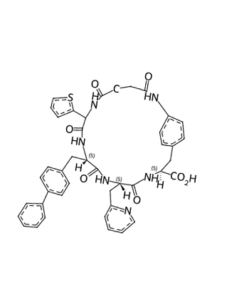 O=C1CCC(=O)NC(c2cccs2)C(=O)N[C@@H](Cc2ccc(-c3ccccc3)cc2)C(=O)N[C@@H](Cc2ccccn2)C(=O)N[C@H](C(=O)O)Cc2ccc(cc2)N1